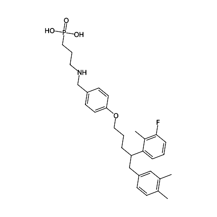 Cc1ccc(CC(CCCOc2ccc(CNCCCP(=O)(O)O)cc2)c2cccc(F)c2C)cc1C